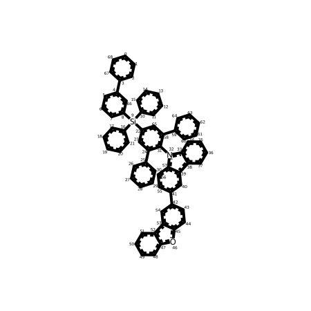 c1ccc(-c2cccc([Si](c3ccccc3)(c3ccccc3)c3cc(-c4ccccc4)c(-n4c5ccccc5c5cc(-c6ccc7oc8ccccc8c7c6)ccc54)c(-c4ccccc4)c3)c2)cc1